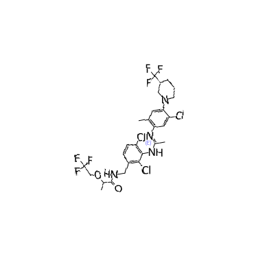 C/C(=N\c1cc(Cl)c(N2CCCC(C(F)(F)F)C2)cc1C)Nc1c(Cl)ccc(CNC(=O)C(C)OCC(F)(F)F)c1Cl